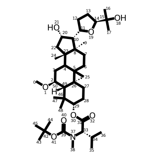 CO[C@H]1CC2C3(CC[C@]4(C)[C@@H](C5CC[C@@H](C(C)(C)O)O5)[C@@H](O)C[C@@]24C)C[C@@]32CC[C@H](OC(=O)[C@H](C(C)C)N(C)C(=O)OC(C)(C)C)C(C)(C)[C@H]12